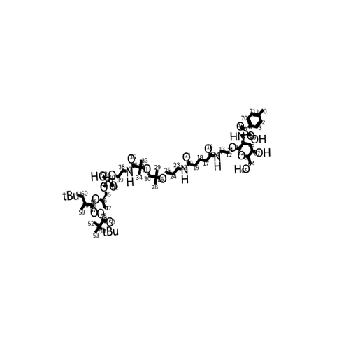 Cc1ccc(S(=O)(=O)NC2C(OCCNC(=O)CCCC(=O)NCCCOC(C)(C)COC(C)(C)C(=O)NCCOP(=O)(O)OC[C@@H](COC(=O)C(C)(C)C(C)(C)C)OC(=O)C(C)CC(C)(C)C)OC(CO)C(O)C2O)cc1